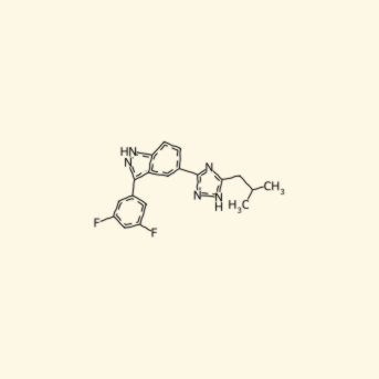 CC(C)Cc1nc(-c2ccc3[nH]nc(-c4cc(F)cc(F)c4)c3c2)n[nH]1